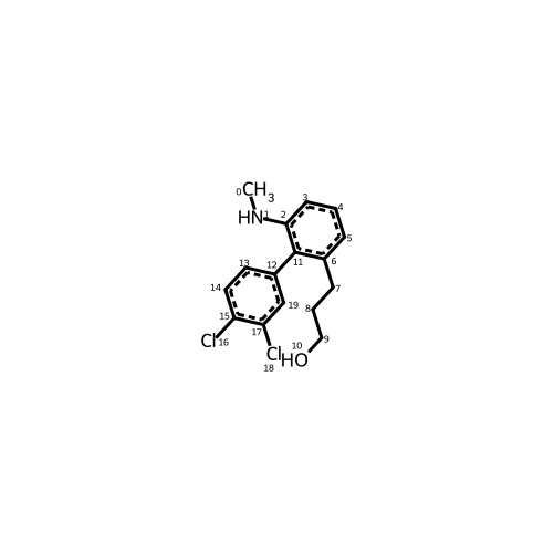 CNc1cccc(CCCO)c1-c1ccc(Cl)c(Cl)c1